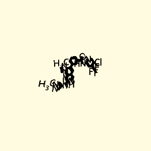 Cc1ccc(C(=O)Nc2cc(C(F)(F)F)c(Cl)cn2)cc1C1=Cc2cnc(Nc3cnn(C)c3)nc2N2CCN=C12